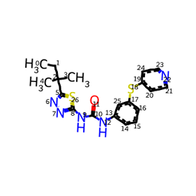 CCC(C)(C)c1nnc(NC(=O)Nc2cccc(Sc3ccncc3)c2)s1